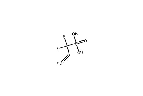 C=CC(F)(F)P(=O)(O)O